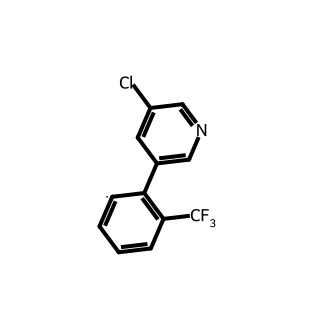 FC(F)(F)c1ccc[c]c1-c1cncc(Cl)c1